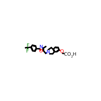 Cc1nc(-c2ccc(C(C)(F)F)cc2)oc1CN1CCc2ccc(OCC(=O)O)cc2CC1